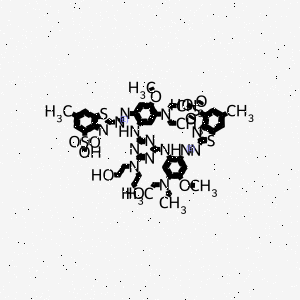 CCN(CC)c1cc(Nc2nc(Nc3cc(N(CC)CC)c(OC)cc3/N=N/c3nc4c(S(=O)(=O)O)cc(C)cc4s3)nc(N(CCO)CCO)n2)c(/N=N/c2nc3c(S(=O)(=O)O)cc(C)cc3s2)cc1OC